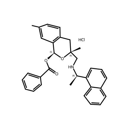 Cc1ccc2c(c1)[C@H](OC(=O)c1ccccc1)O[C@@](C)(CN[C@H](C)c1cccc3ccccc13)C2.Cl